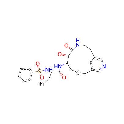 CC(C)CC(NS(=O)(=O)c1ccccc1)C(=O)NC1CCCc2cncc(c2)CCNC(=O)C1=O